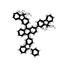 CC1(C)c2ccccc2-c2cc(-c3c4ccccc4c(-c4ccc5c(c4)c4ccccc4p5-c4ccccc4)c4ccc(-c5ccc6c(c5)C(C)(C)c5ccccc5-6)cc34)ccc21